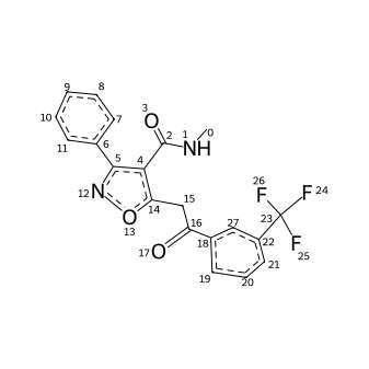 CNC(=O)c1c(-c2ccccc2)noc1CC(=O)c1cccc(C(F)(F)F)c1